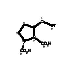 CC(C)OC1CC[C@@H](C(=O)O)N1C(=O)O